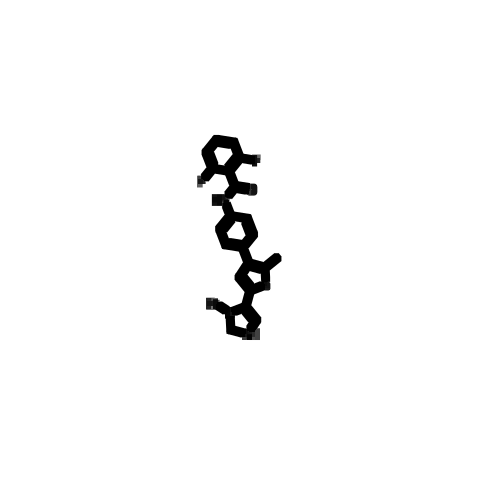 CCN1CNC=C1c1cc(-c2ccc(NC(=O)c3c(F)cccc3F)cc2)c(C)s1